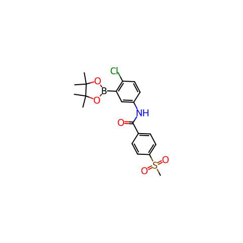 CC1(C)OB(c2cc(NC(=O)c3ccc(S(C)(=O)=O)cc3)ccc2Cl)OC1(C)C